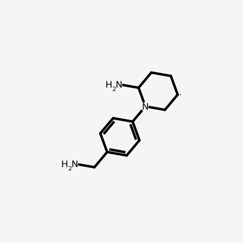 NCc1ccc(N2C[CH]CCC2N)cc1